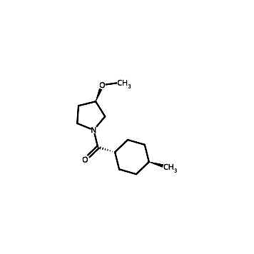 CO[C@@H]1CCN(C(=O)[C@H]2CC[C@H](C)CC2)C1